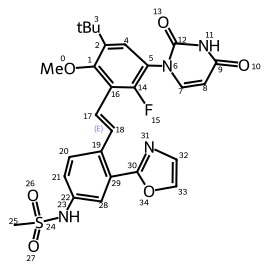 COc1c(C(C)(C)C)cc(-n2ccc(=O)[nH]c2=O)c(F)c1/C=C/c1ccc(NS(C)(=O)=O)cc1-c1ncco1